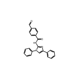 O=Cc1ccc(C(=O)Nc2nc(-c3ccccc3)cn2-c2ccccc2)cc1